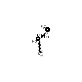 CC(C)OC(=O)CCCC=CC[C@@H]1[C@H](C=C[C@@H](O)COc2cccc(C(F)(F)F)c2)[C@H](O)C[C@H]1O